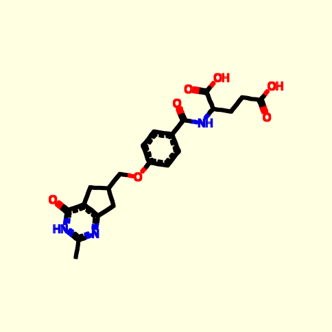 Cc1nc2c(c(=O)[nH]1)CC(COc1ccc(C(=O)NC(CCC(=O)O)C(=O)O)cc1)C2